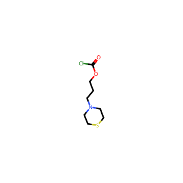 O=C(Cl)OCCCN1CCSCC1